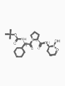 CC(C)(C)OC(=O)N[C@H](C(=O)N1C[CH]C[C@H]1C(=O)NC1CCCOB1O)C1CCCCC1